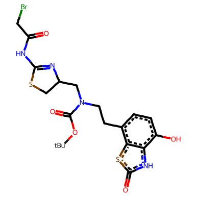 CC(C)(C)OC(=O)N(CCc1ccc(O)c2[nH]c(=O)sc12)CC1CSC(NC(=O)CBr)=N1